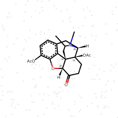 CC(=O)Oc1ccc2c3c1O[C@H]1C(=O)CC[C@@]4(OC(C)=O)[C@@H](C2)N(C)C(C)C[C@]314